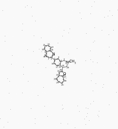 CN1Cc2cc(-c3cnc4ccccc4n3)ccc2C(c2cc3ccccc3o2)C1